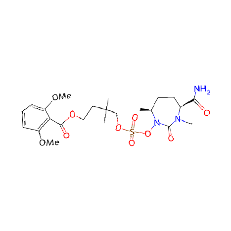 COc1cccc(OC)c1C(=O)OCCC(C)(C)COS(=O)(=O)ON1C(=O)N(C)[C@H](C(N)=O)CC[C@@H]1C